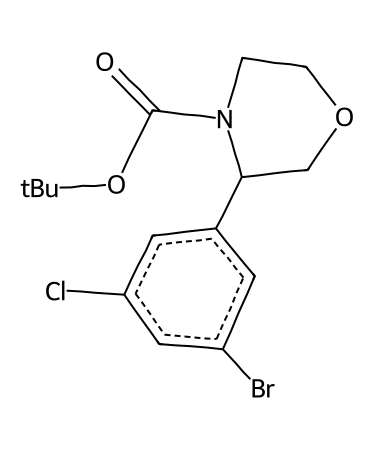 CC(C)(C)OC(=O)N1CCOCC1c1cc(Cl)cc(Br)c1